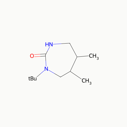 CC1CNC(=O)N(C(C)(C)C)CC1C